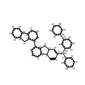 C1#CC2c3cccc(-c4cccc5c4Cc4ccccc4-5)c3CC2C=C1N(c1ccccc1)c1cccc(-c2ccccc2)c1